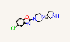 Clc1ccc2oc(N3CCN([C@H]4CCNC4)CC3)nc2c1